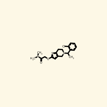 CC(c1ccccc1Cl)N1CCc2sc(OCC(=O)N(C)C)cc2C1